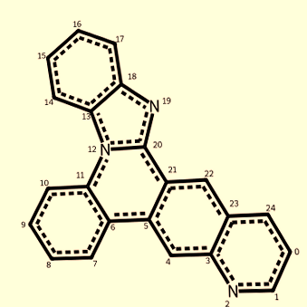 c1cnc2cc3c4ccccc4n4c5ccccc5nc4c3cc2c1